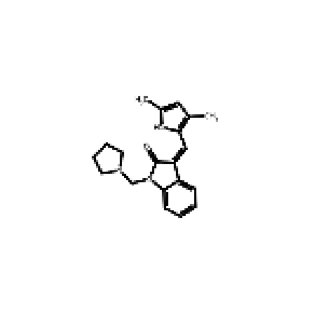 Cc1cc(C)c(/C=C2\C(=O)N(CN3CCCC3)c3ccccc32)[nH]1